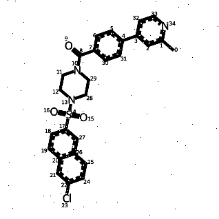 Cc1cc(-c2ccc(C(=O)N3CCN(S(=O)(=O)c4ccc5cc(Cl)ccc5c4)CC3)cc2)ccn1